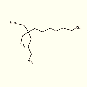 CCCCCCCC(CC)(CN)CCCN